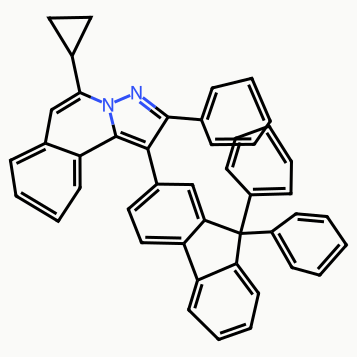 c1ccc(-c2nn3c(C4CC4)cc4ccccc4c3c2-c2ccc3c(c2)C(c2ccccc2)(c2ccccc2)c2ccccc2-3)cc1